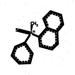 C[P@](=S)(c1ccccc1)c1cccc2ccccc12